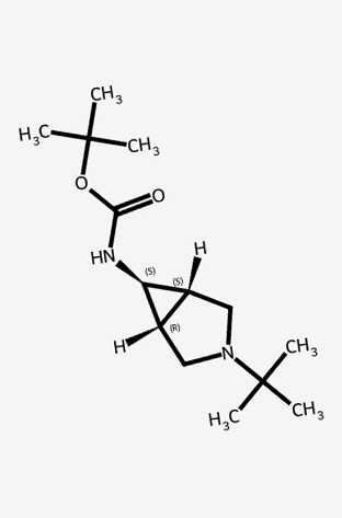 CC(C)(C)OC(=O)N[C@H]1[C@@H]2CN(C(C)(C)C)C[C@@H]21